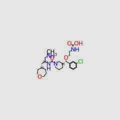 CNC[C@H](C[C@@H]1CCCOCC1)NC(=O)N1CCC[C@@H](C(OCCNC(=O)O)c2cccc(Cl)c2)C1